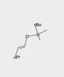 CCCC=CO[Si](C)(C)C(C)(C)C